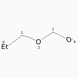 [CH2]CCOC[O]